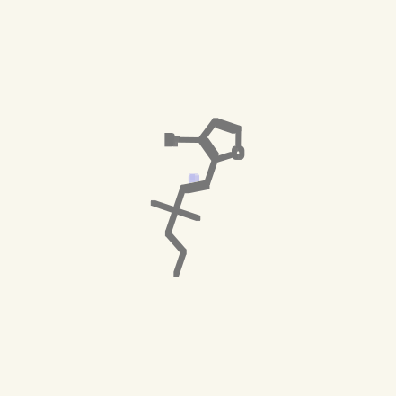 CCCC(C)(C)/C=C/c1occc1Br